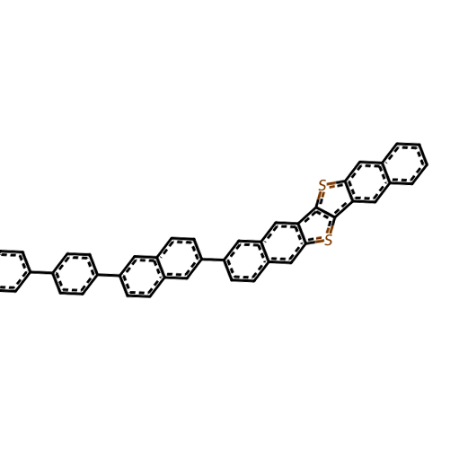 c1ccc(-c2ccc(-c3ccc4cc(-c5ccc6cc7sc8c9cc%10ccccc%10cc9sc8c7cc6c5)ccc4c3)cc2)cc1